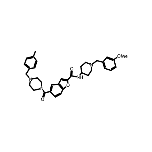 COc1cccc(CN2CCC(NC(=O)c3cc4cc(C(=O)N5CCN(Cc6ccc(C)cc6)CC5)ccc4o3)CC2)c1